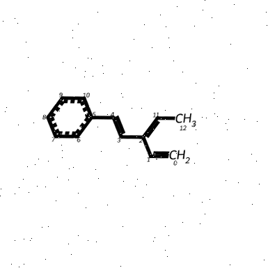 C=CC(C=Cc1ccccc1)=CC